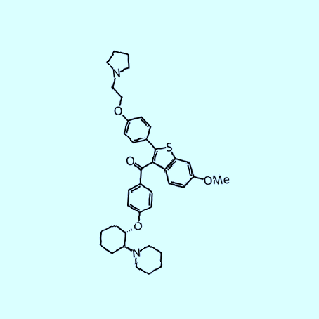 COc1ccc2c(C(=O)c3ccc(O[C@H]4CCCC[C@@H]4N4CCCCC4)cc3)c(-c3ccc(OCCN4CCCC4)cc3)sc2c1